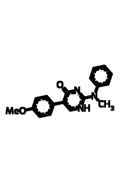 COc1ccc(-c2c[nH]c(N(C)c3ccccc3)nc2=O)cc1